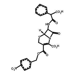 O=C(O)C1=C(C(=O)OCc2ccc([N+](=O)[O-])cc2)CS[C@@H]2C(NC(=O)C(C(=O)O)c3ccccc3)C(=O)N12